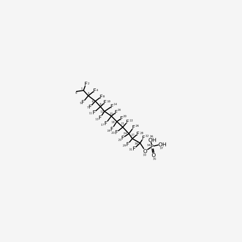 CC(F)C(F)(F)C(F)(F)C(F)(F)C(F)(F)C(F)(F)C(F)(F)C(F)(F)C(F)(F)C(F)(F)C(F)(F)OP(=O)(O)O